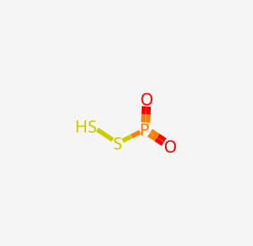 O=P(=O)SS